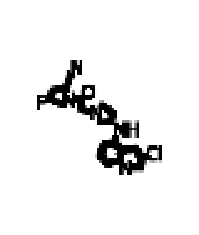 N#CC1C[C@H](F)CN1C(=O)CN1CC[C@H](Nc2cccc3ncc(Cl)cc23)C1